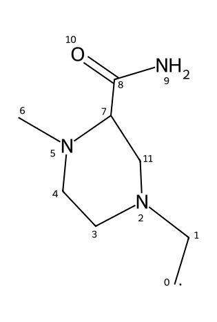 [CH2]CN1CCN(C)C(C(N)=O)C1